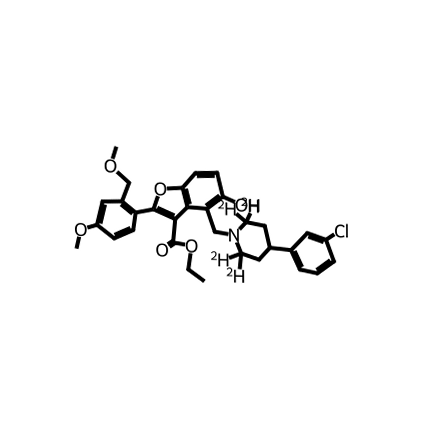 [2H]C1([2H])CC(c2cccc(Cl)c2)CC([2H])([2H])N1Cc1c(O)ccc2oc(-c3ccc(OC)cc3COC)c(C(=O)OCC)c12